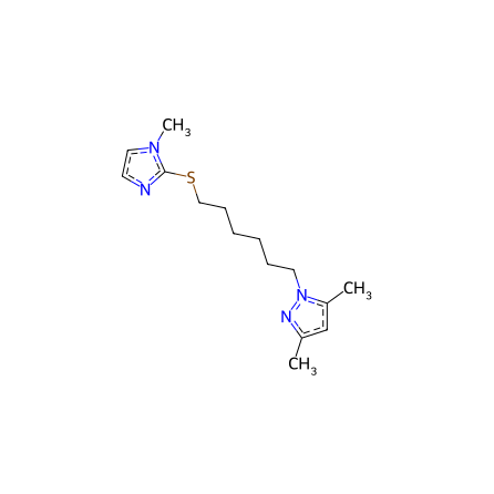 Cc1cc(C)n(CCCCCCSc2nccn2C)n1